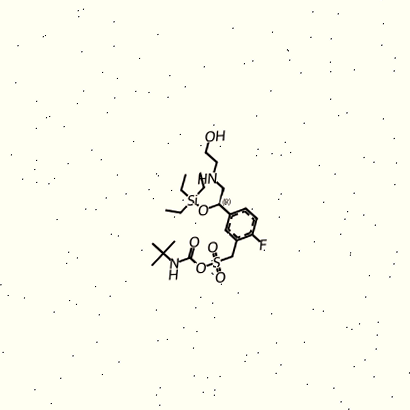 CC[Si](CC)(CC)O[C@@H](CNCCO)c1ccc(F)c(CS(=O)(=O)OC(=O)NC(C)(C)C)c1